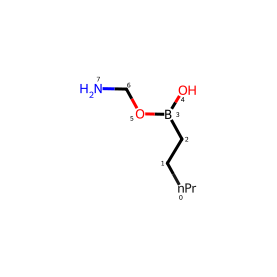 CCCCCB(O)OCN